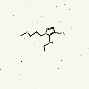 CCNc1c(N)cnn1CCCOC